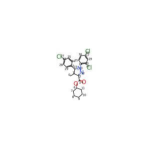 CC1C(C(=O)OC2CCCCC2)=NN(c2ccc(Cl)cc2Cl)C1c1ccc(Cl)cc1